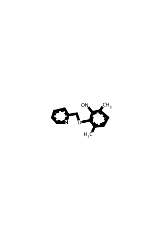 Cc1ccc(C)c(OCc2ccccn2)c1N=O